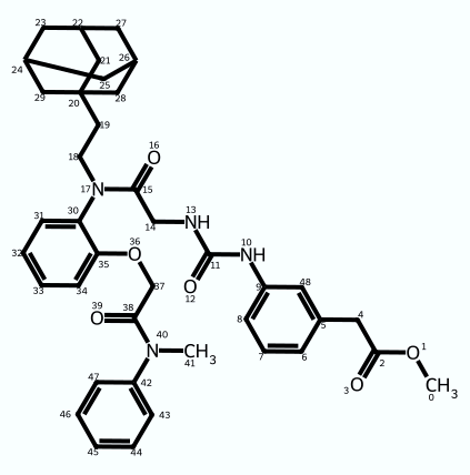 COC(=O)Cc1cccc(NC(=O)NCC(=O)N(CCC23CC4CC(CC(C4)C2)C3)c2ccccc2OCC(=O)N(C)c2ccccc2)c1